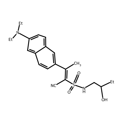 CCC(O)CNS(=O)(=O)/C(C#N)=C(\C)c1ccc2cc(N(CC)CC)ccc2c1